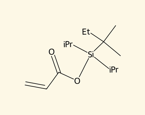 C=CC(=O)O[Si](C(C)C)(C(C)C)C(C)(C)CC